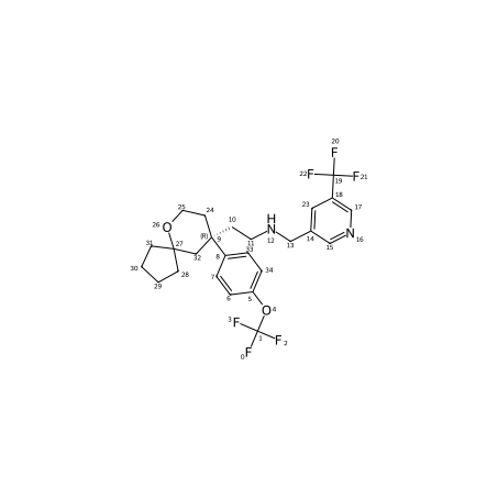 FC(F)(F)Oc1ccc([C@]2(CCNCc3cncc(C(F)(F)F)c3)CCOC3(CCCC3)C2)cc1